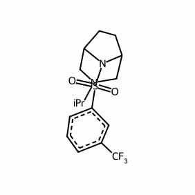 CC(C)N1CC2CCC(C1)N2S(=O)(=O)c1cccc(C(F)(F)F)c1